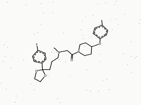 Cc1ccc(OC2CCN(C(=O)CN(C)CCCC3(c4ccc(F)cc4)OCCO3)CC2)cc1